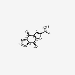 CC(O)c1cc2c(s1)C(=O)c1nsnc1C2=O